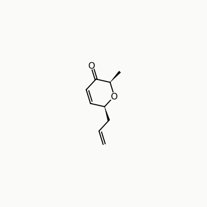 C=CC[C@H]1C=CC(=O)[C@@H](C)O1